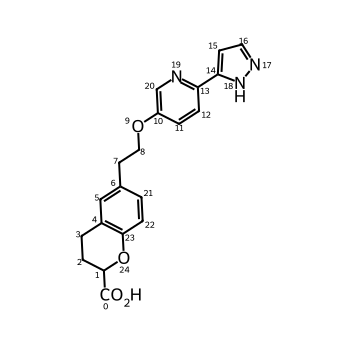 O=C(O)C1CCc2cc(CCOc3ccc(-c4ccn[nH]4)nc3)ccc2O1